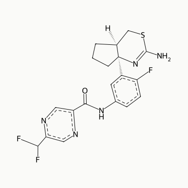 NC1=N[C@@]2(c3cc(NC(=O)c4cnc(C(F)F)cn4)ccc3F)CCC[C@H]2CS1